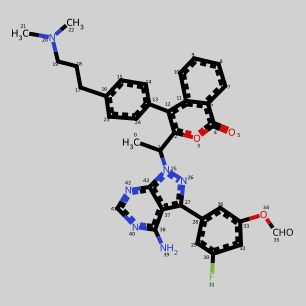 CC(c1oc(=O)c2ccccc2c1-c1ccc(CCCN(C)C)cc1)n1nc(-c2cc(F)cc(OC=O)c2)c2c(N)ncnc21